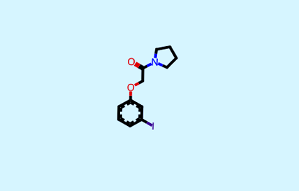 O=C(COc1cccc(I)c1)N1CCCC1